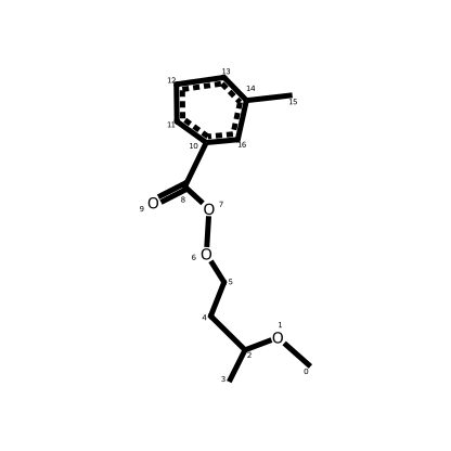 COC(C)C[CH]OOC(=O)c1cccc(C)c1